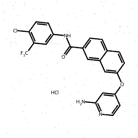 Cl.Nc1cc(Oc2ccc3ccc(C(=O)Nc4ccc(Cl)c(C(F)(F)F)c4)cc3c2)ccn1